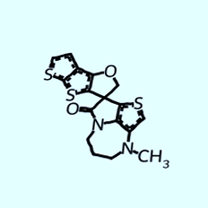 CN1CCCN2C(=O)C3(COc4c3sc3sccc43)c3scc1c32